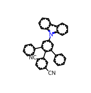 N#Cc1ccc(C#N)c(-c2c(-c3ccccc3)cc(-n3c4ccccc4c4ccccc43)cc2-c2ccccc2)c1